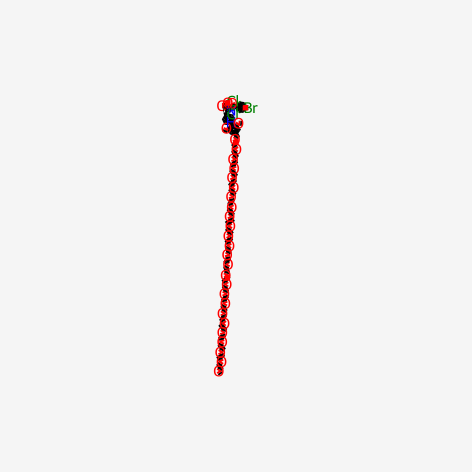 COCCOCCOCCOCCOCCOCCOCCOCCOCCOCCOCCOCCOCCOCCOCCOCCOCCOCCOCCOCCOCCOCCOCCOCCOCc1cc(OC)c(-c2ccc(C[C@H](NC(=O)c3c(Cl)cc(Br)cc3Cl)C(=O)OC)cc2)c(OC)c1